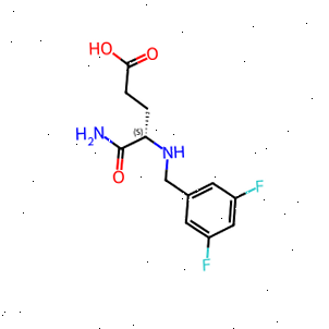 NC(=O)[C@H](CCC(=O)O)NCc1cc(F)cc(F)c1